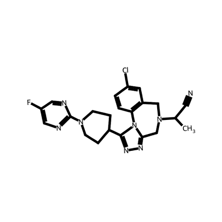 CC(C#N)N1Cc2cc(Cl)ccc2-n2c(nnc2C2CCN(c3ncc(F)cn3)CC2)C1